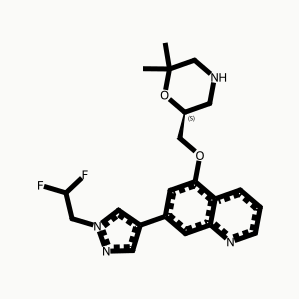 CC1(C)CNC[C@@H](COc2cc(-c3cnn(CC(F)F)c3)cc3ncccc23)O1